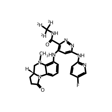 [2H]C([2H])([2H])NC(=O)c1nnc(Nc2ccc(F)cn2)cc1Nc1cccc2c1N(C)C[C@H]1CCC(=O)N21